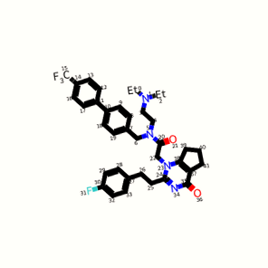 CCN(CC)CCN(Cc1ccc(-c2ccc(C(F)(F)F)cc2)cc1)C(=O)Cn1c(CCc2ccc(F)cc2)nc(=O)c2c1CCC2